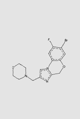 Fc1cc2c(cc1Br)OCc1nc(CN3CCOCC3)cn1-2